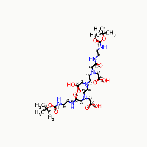 CC(C)(C)OC(=O)NCCNC(=O)CN(CCN(CCN(CC(=O)O)CC(=O)NCCNC(=O)OC(C)(C)C)CC(=O)O)CC(=O)O